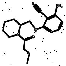 CCCC(=O)N1CCCCC1COc1cccc(N)c1C#N